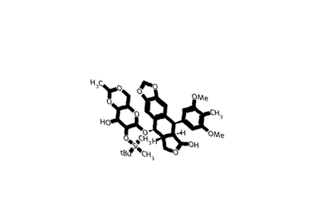 COc1cc([C@@H]2c3cc4c(cc3[C@@H](OC3OC5COC(C)OC5C(O)C3O[Si](C)(C)C(C)(C)C)[C@H]3COC(O)[C@H]23)OCO4)cc(OC)c1C